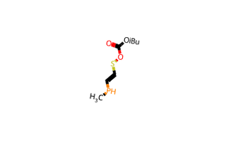 CP/C=C/SOC(=O)OCC(C)C